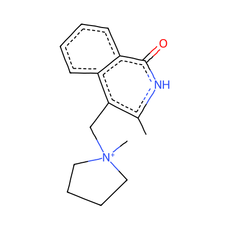 Cc1[nH]c(=O)c2ccccc2c1C[N+]1(C)CCCC1